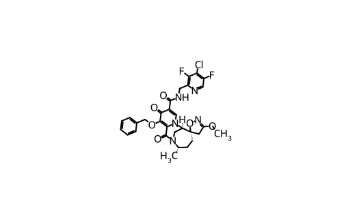 COC1=NO[C@@]2(CC[C@H](C)N3C[C@H]2n2cc(C(=O)NCc4ncc(F)c(Cl)c4F)c(=O)c(OCc4ccccc4)c2C3=O)C1